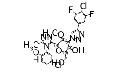 CO[C@@H]1[C@@H](n2cc(-c3cc(F)c(Cl)c(F)c3)nn2)[C@@H](O)[C@@H](CO)O[C@H]1c1nnc(C)n1-c1cc(Cl)ccc1O